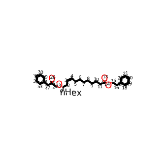 CCCCCC[C@H](C/C=C\CCCCCCCC(=O)OCCc1ccccc1)OCC(=O)Cc1ccccc1